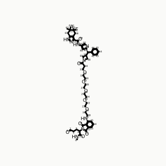 CNC(=O)C(CCC=O)N1C(=O)c2cccc(NCCOCCOCCOCCOCCOCCC(=O)N3CC(C(c4ccccc4)n4cc(NC(=O)c5n[nH]c6c5CC(F)(F)C(C)(C)C6)cn4)C3)c2C1=O